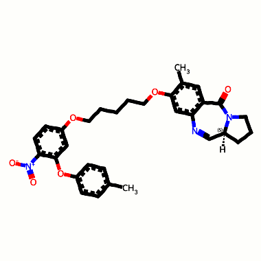 Cc1ccc(Oc2cc(OCCCCCOc3cc4c(cc3C)C(=O)N3CCC[C@H]3C=N4)ccc2[N+](=O)[O-])cc1